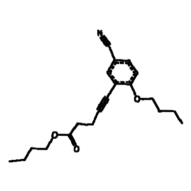 CCCCOC(=O)CCC#Cc1cc(C#N)ccc1OCCCC